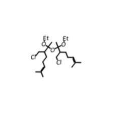 CCOC(C)(OC(C)(OCC)C(CCl)CCC=C(C)C)C(CCl)CCC=C(C)C